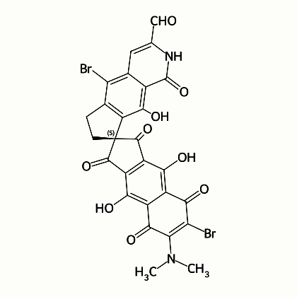 CN(C)C1=C(Br)C(=O)c2c(O)c3c(c(O)c2C1=O)C(=O)[C@@]1(CCc2c1c(O)c1c(=O)[nH]c(C=O)cc1c2Br)C3=O